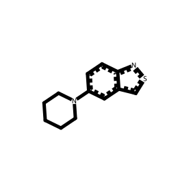 c1cc2nscc2cc1N1CCCCC1